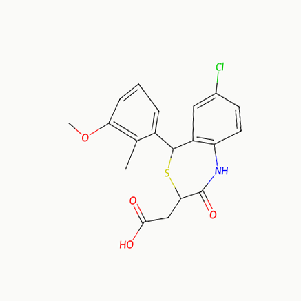 COc1cccc(C2SC(CC(=O)O)C(=O)Nc3ccc(Cl)cc32)c1C